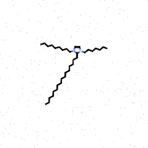 CCCCCCCCCCCCCCCCC1N(CCCCCCC)C=CN1CCCCCCCCC